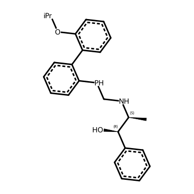 CC(C)Oc1ccccc1-c1ccccc1PCN[C@@H](C)[C@H](O)c1ccccc1